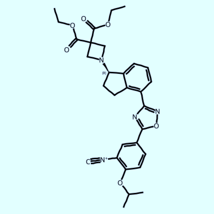 [C-]#[N+]c1cc(-c2nc(-c3cccc4c3CC[C@H]4N3CC(C(=O)OCC)(C(=O)OCC)C3)no2)ccc1OC(C)C